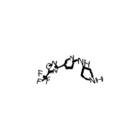 FC(F)(F)c1nc(-c2ccc(NC3CCNCC3)nc2)no1